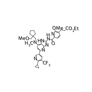 CCOC(=O)CCc1ccc(C(=O)Nc2nc3nc(-c4cnc(C5CC5)c(C(F)(F)F)c4)cc(N(C)CC4(COC)CCCC4)c3[nH]2)nc1OC